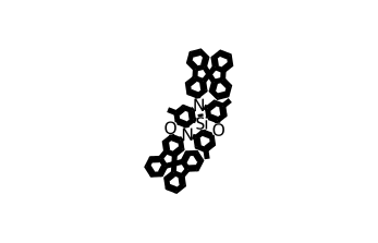 Cc1cc2c3c(c1)N(c1ccc4c(c1)C1(c5ccccc5-c5ccccc51)c1ccccc1-4)c1cc(C)c4c5c1[Si]3(C)c1c(cc(C)cc1N5c1cc3c(cc1O4)-c1ccccc1C31c3ccccc3-c3ccccc31)O2